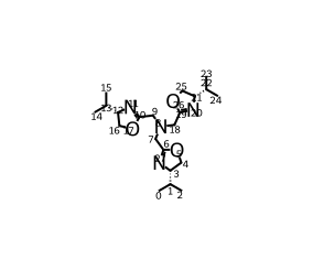 CC(C)[C@H]1COC(CN(CC2=N[C@@H](C(C)C)CO2)CC2=N[C@@H](C(C)C)CO2)=N1